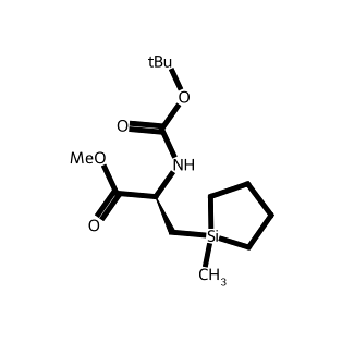 COC(=O)[C@H](C[Si]1(C)CCCC1)NC(=O)OC(C)(C)C